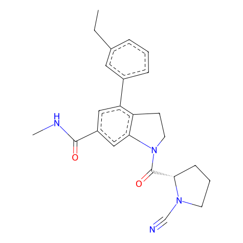 CCc1cccc(-c2cc(C(=O)NC)cc3c2CCN3C(=O)[C@@H]2CCCN2C#N)c1